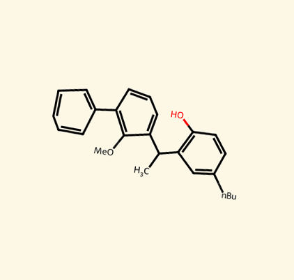 CCCCc1ccc(O)c(C(C)c2cccc(-c3ccccc3)c2OC)c1